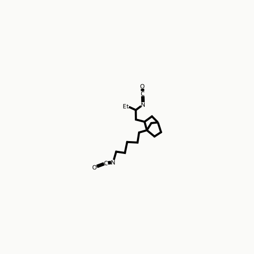 CCC(CC1CC2CCC1(CCCCCN=C=O)C2)N=C=O